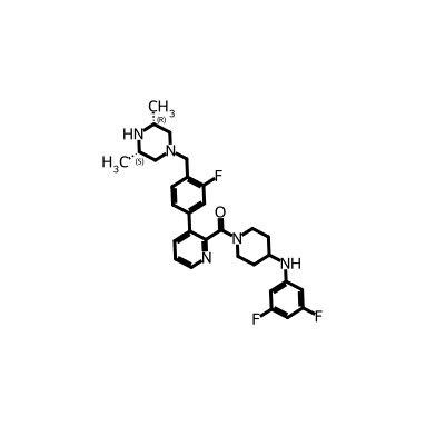 C[C@@H]1CN(Cc2ccc(-c3cccnc3C(=O)N3CCC(Nc4cc(F)cc(F)c4)CC3)cc2F)C[C@H](C)N1